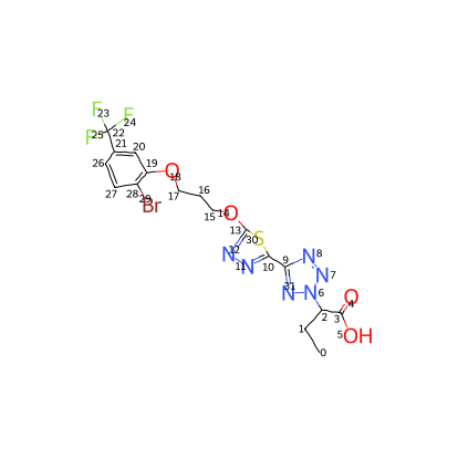 CCC(C(=O)O)n1nnc(-c2nnc(OCCCOc3cc(C(F)(F)F)ccc3Br)s2)n1